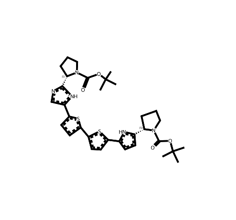 CC(C)(C)OC(=O)N1CCC[C@H]1c1ccc(-c2ccc(-c3ccc(-c4cnc([C@@H]5CCCN5C(=O)OC(C)(C)C)[nH]4)s3)s2)[nH]1